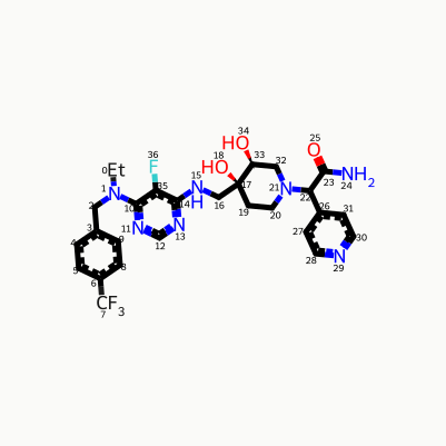 CCN(Cc1ccc(C(F)(F)F)cc1)c1ncnc(NC[C@@]2(O)CCN(C(C(N)=O)c3ccncc3)C[C@@H]2O)c1F